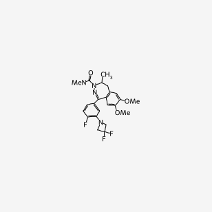 CNC(=O)N1N=C(c2ccc(F)c(N3CC(F)(F)C3)c2)c2cc(OC)c(OC)cc2CC1C